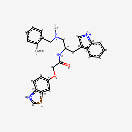 COc1ccccc1CN(CC(Cc1c[nH]c2ccccc12)NC(=O)COc1ccc2ncsc2c1)C(C)=O